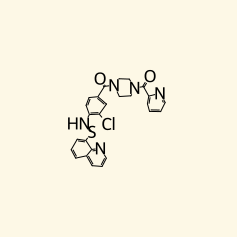 O=C(c1ccc(NSc2cccc3cccnc23)c(Cl)c1)N1CCN(C(=O)c2ccccn2)CC1